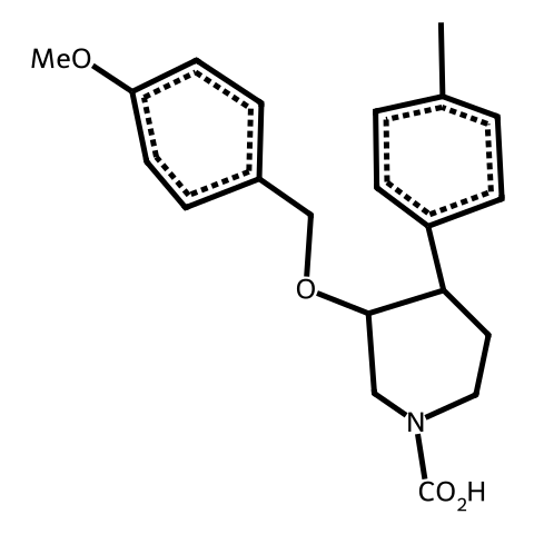 COc1ccc(COC2CN(C(=O)O)CCC2c2ccc(C)cc2)cc1